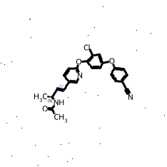 CC(=O)N[C@@H](C)/C=C/c1ccc(Oc2ccc(Oc3ccc(C#N)cc3)cc2Cl)nc1